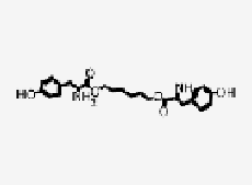 NC(Cc1ccc(O)cc1)C(=O)OCCCCCCOC(=O)C(N)Cc1ccc(O)cc1